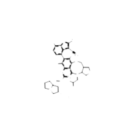 C[C@H]1CN2CCC[C@@]2(COc2nc3c4c(c(Cl)c(-c5ccc(F)c6sc(N)c(C#N)c56)c(F)c4n2)OCC2COCC2N3CC(F)F)C1